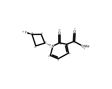 COC(=O)c1cccn([C@H]2C[C@H](F)C2)c1=O